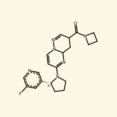 O=C(C1C=NN2C=CC(N3CCC[C@@H]3c3cncc(F)c3)=NC2C1)N1CCC1